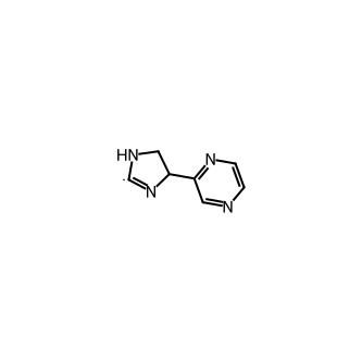 [C]1=NC(c2cnccn2)CN1